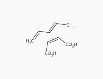 C=CC=CC.O=C(O)/C=C\C(=O)O